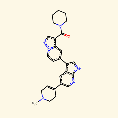 CN1CC=C(c2cnc3[nH]cc(-c4ccn5ncc(C(=O)N6CCCCC6)c5c4)c3c2)CC1